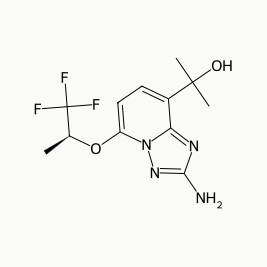 C[C@H](Oc1ccc(C(C)(C)O)c2nc(N)nn12)C(F)(F)F